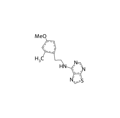 COc1ccc(CCNc2ncnc3scnc23)c(C)c1